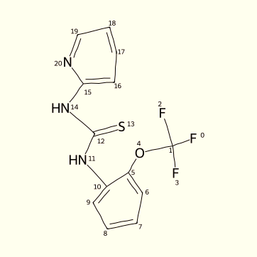 FC(F)(F)Oc1ccccc1NC(=S)Nc1ccccn1